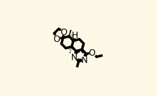 CCOc1nc(C)nc2c1CC[C@H]1[C@H](C)C3(CC[C@]21C)OCCO3